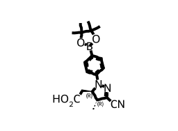 C[C@H]1C(C#N)=NN(c2ccc(B3OC(C)(C)C(C)(C)O3)cc2)[C@@H]1CC(=O)O